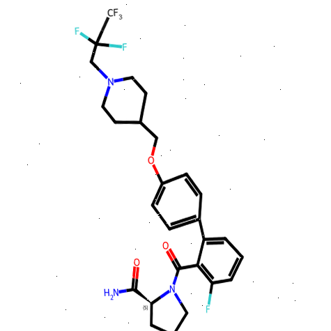 NC(=O)[C@@H]1CCCN1C(=O)c1c(F)cccc1-c1ccc(OCC2CCN(CC(F)(F)C(F)(F)F)CC2)cc1